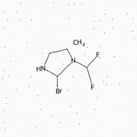 C.FC(F)N1CCNC1Br